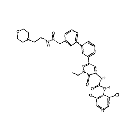 CCn1nc(-c2cccc(-c3cccc(CC(=O)NCCN4CCOCC4)c3)c2)cc(NC(=O)Nc2c(Cl)cncc2Cl)c1=O